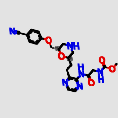 COC(=O)NCC(=O)Nc1nccnc1CC[C@@H]1CNC[C@@H](COc2ccc(C#N)cc2)O1